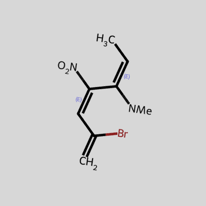 C=C(Br)/C=C(\C(=C/C)NC)[N+](=O)[O-]